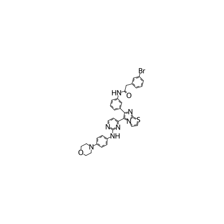 O=C(Cc1cccc(Br)c1)Nc1cccc(-c2nc3sccn3c2-c2ccnc(Nc3ccc(N4CCOCC4)cc3)n2)c1